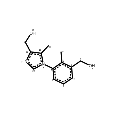 Cc1c(CO)cccc1-n1cnc(CO)c1C